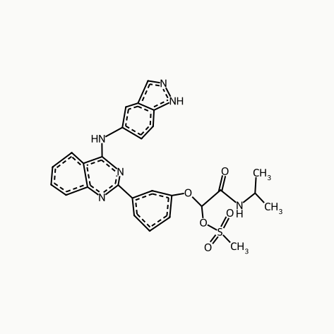 CC(C)NC(=O)C(Oc1cccc(-c2nc(Nc3ccc4[nH]ncc4c3)c3ccccc3n2)c1)OS(C)(=O)=O